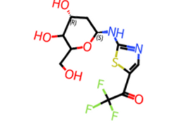 O=C(c1cnc(N[C@@H]2C[C@@H](O)C(O)C(CO)O2)s1)C(F)(F)F